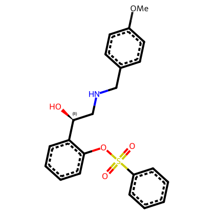 COc1ccc(CNC[C@H](O)c2ccccc2OS(=O)(=O)c2ccccc2)cc1